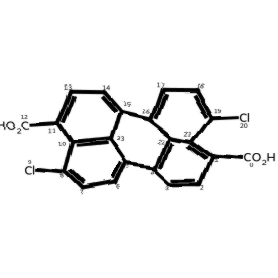 O=C(O)c1ccc2c3ccc(Cl)c4c(C(=O)O)ccc(c5ccc(Cl)c1c52)c43